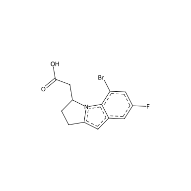 O=C(O)CC1CCc2cc3cc(F)cc(Br)c3n21